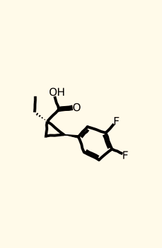 CC[C@@]1(C(=O)O)C[C@@H]1c1ccc(F)c(F)c1